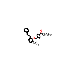 COC(=O)c1ccc(COc2c(CCc3ccccc3)cccc2[N+](=O)[O-])cc1